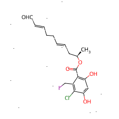 C[C@H](C/C=C/CC/C=C/C=O)OC(=O)c1c(O)cc(O)c(Cl)c1CI